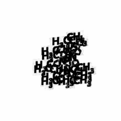 CC(C)(C)c1ccc(N2c3cc(-n4c5ccc(C(C)(C)C)cc5c5cc(C(C)(C)C)ccc54)ccc3B3c4c2cc(C(C)(C)C)cc4N(c2ccc(C(C)(C)C)cc2)c2c3n(-c3ccc(C(C)(C)C)cc3)c3ccc4c5ccccc5sc4c23)cc1